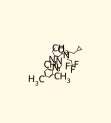 CCc1nc2n(c1C(=O)N(CCC1CC1)CCC(F)(F)F)CCN2c1c(C)cc(C)cc1C